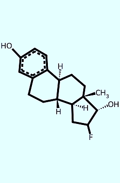 C[C@]12CC[C@@H]3c4ccc(O)cc4CC[C@H]3[C@@H]1CC(F)[C@H]2O